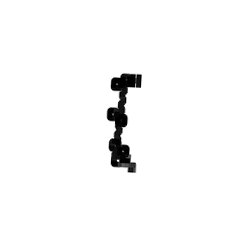 C=CC(=O)OCCCCOC(=O)CCCCCC(=O)O